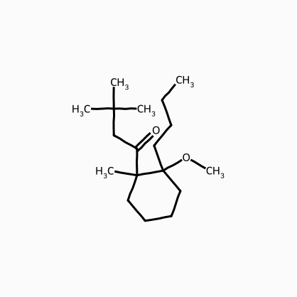 CCCCC1(OC)CCCCC1(C)C(=O)CC(C)(C)C